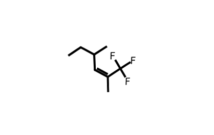 CCC(C)C=C(C)C(F)(F)F